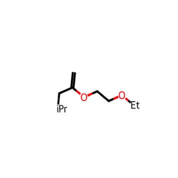 C=C(CC(C)C)OCCOCC